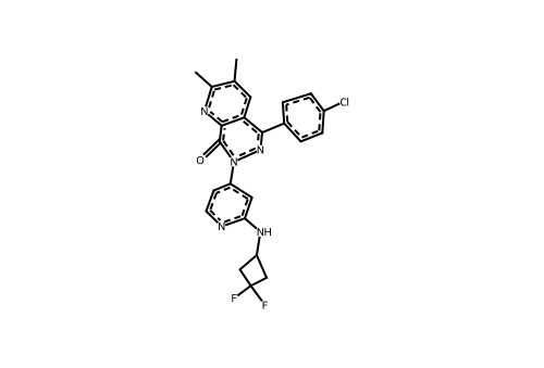 Cc1cc2c(-c3ccc(Cl)cc3)nn(-c3ccnc(NC4CC(F)(F)C4)c3)c(=O)c2nc1C